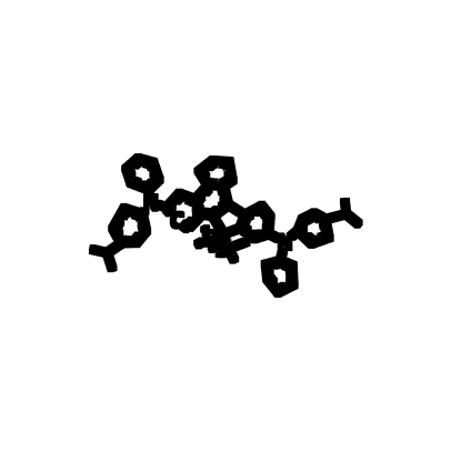 CC(C)c1ccc(N(c2ccccc2)c2ccc3c(c2)C([Si](C)(C)C)([Si](C)(C)C)c2c-3c3ccccc3c3cc(N(c4ccccc4)c4ccc(C(C)C)cc4)ccc23)cc1